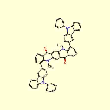 Cn1c2cc3c(=O)c4cccc(-c5ccc6c(c5)c5ccccc5n6-c5ccccc5)c4n(C)c3cc2c(=O)c2cccc(-c3ccc4c(c3)c3ccccc3n4-c3ccccc3)c21